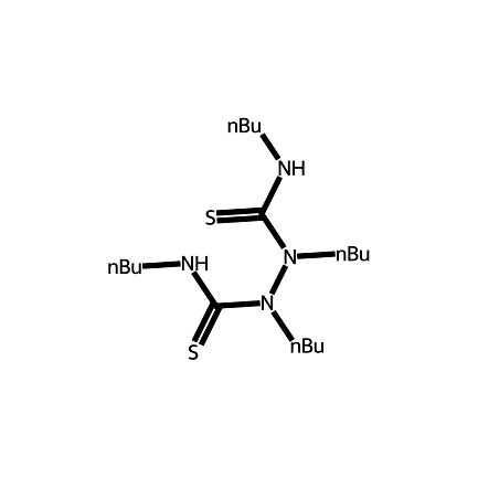 CCCCNC(=S)N(CCCC)N(CCCC)C(=S)NCCCC